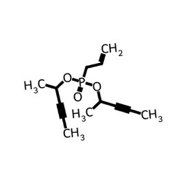 C=CCP(=O)(OC(C)C#CC)OC(C)C#CC